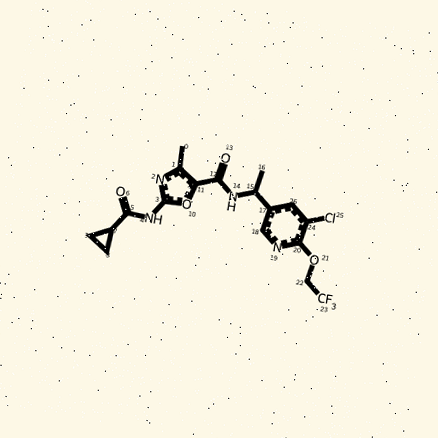 Cc1nc(NC(=O)C2CC2)oc1C(=O)NC(C)c1cnc(OCC(F)(F)F)c(Cl)c1